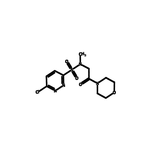 CN(CC(=O)N1CCOCC1)S(=O)(=O)c1ccc(Cl)nn1